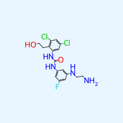 NCCNc1cc(F)cc(NC(=O)Nc2cc(Cl)cc(Cl)c2CCO)c1